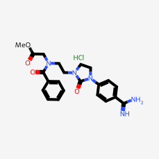 COC(=O)CN(CCN1CCN(c2ccc(C(=N)N)cc2)C1=O)C(=O)c1ccccc1.Cl